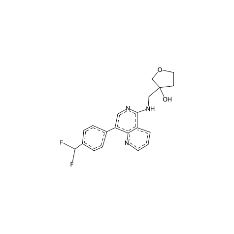 OC1(CNc2ncc(-c3ccc(C(F)F)cc3)c3ncccc23)CCOC1